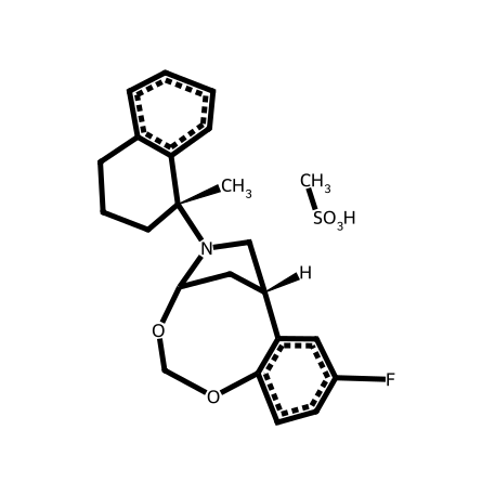 CS(=O)(=O)O.C[C@@]1(N2C[C@H]3CC2OCOc2ccc(F)cc23)CCCc2ccccc21